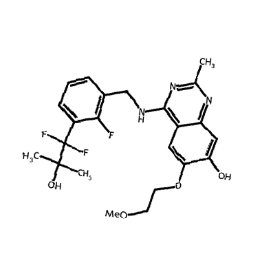 COCCOc1cc2c(NCc3cccc(C(F)(F)C(C)(C)O)c3F)nc(C)nc2cc1O